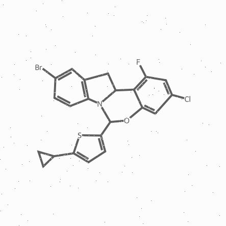 Fc1cc(Cl)cc2c1C1Cc3cc(Br)ccc3N1C(c1ccc(C3CC3)s1)O2